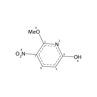 COc1nc(O)ccc1[N+](=O)[O-]